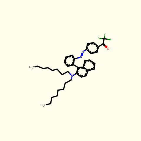 CCCCCCCCN(CCCCCCCC)c1ccc2ccccc2c1-c1ccccc1/N=N/c1ccc(C(=O)C(F)(F)F)cc1